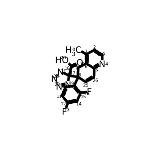 Cc1ccnc2c1CC(c1ccc(F)cc1F)(C1(C(=O)O)N=NN=N1)C=C2